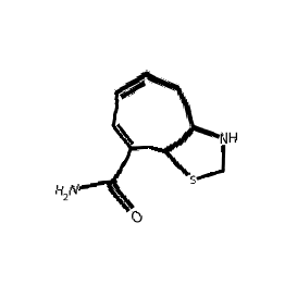 NC(=O)C1=CC=CCC2NCSC12